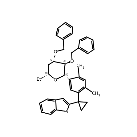 CC[C@@H]1C[C@H](OCc2ccccc2)[C@@H](OCc2ccccc2)[C@H](c2cc(C3(c4cc5ccccc5s4)CC3)c(C)cc2C)O1